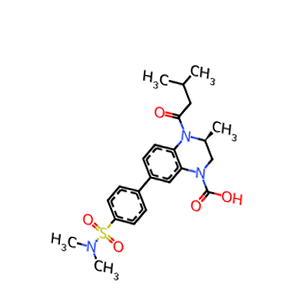 CC(C)CC(=O)N1c2ccc(-c3ccc(S(=O)(=O)N(C)C)cc3)cc2N(C(=O)O)C[C@@H]1C